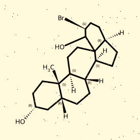 C[C@]12CC[C@@H](O)C[C@H]1CC[C@H]1[C@@H]3CC[C@@H]4CC[C@H](Br)C(O)C43CC[C@@H]12